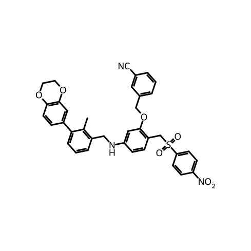 Cc1c(CNc2ccc(CS(=O)(=O)c3ccc([N+](=O)[O-])cc3)c(OCc3cccc(C#N)c3)c2)cccc1-c1ccc2c(c1)OCCO2